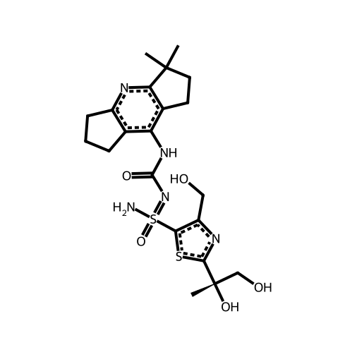 CC1(C)CCc2c1nc1c(c2NC(=O)N=S(N)(=O)c2sc([C@@](C)(O)CO)nc2CO)CCC1